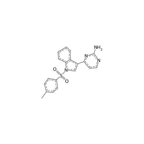 Cc1ccc(S(=O)(=O)n2cc(-c3ccnc(N)n3)c3ccccc32)cc1